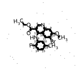 CCOC(=O)c1cnc2cc(OC)c(Br)cc2c1Nc1cc(C)ccc1F